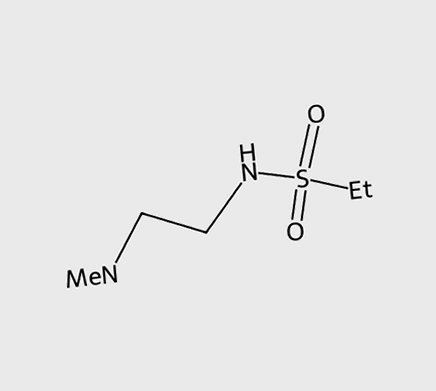 CCS(=O)(=O)NCCNC